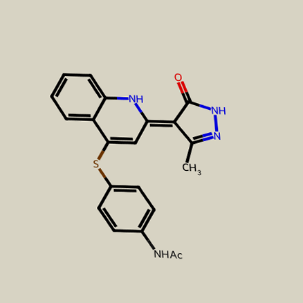 CC(=O)Nc1ccc(SC2=C/C(=C3/C(=O)NN=C3C)Nc3ccccc32)cc1